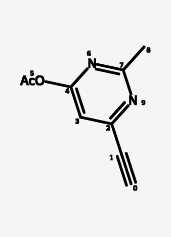 C#Cc1cc(OC(C)=O)nc(C)n1